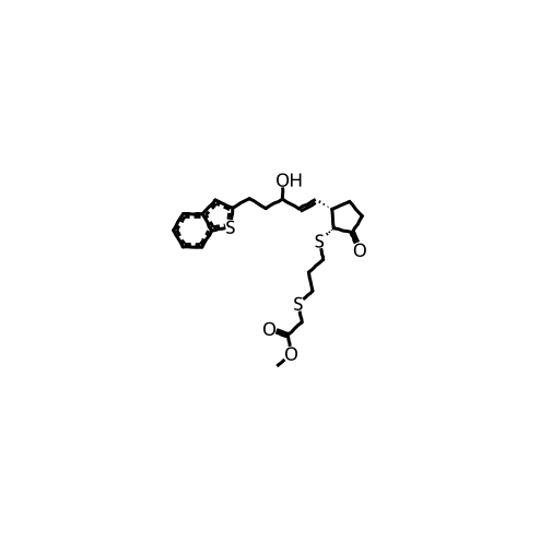 COC(=O)CSCCCS[C@H]1C(=O)CC[C@H]1C=CC(O)CCc1cc2ccccc2s1